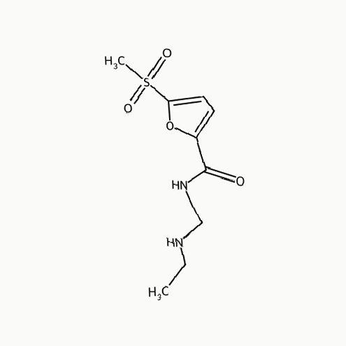 CCNCNC(=O)c1ccc(S(C)(=O)=O)o1